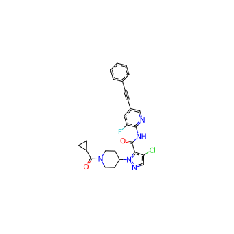 O=C(Nc1ncc(C#Cc2ccccc2)cc1F)c1c(Cl)cnn1C1CCN(C(=O)C2CC2)CC1